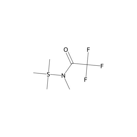 CN(C(=O)C(F)(F)F)S(C)(C)C